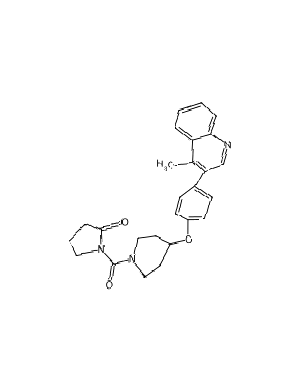 Cc1c(-c2ccc(OC3CCN(C(=O)N4CCCC4=O)CC3)cc2)cnc2ccccc12